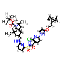 CC(C)(C)CC(CNc1cccc([S+]([O-])NC(=O)c2ccc(-n3ccc(OCCC4C5(CC5)C45CC5)n3)nc2Cl)n1)CC1CN(C(=O)OC(C)(C)C)C(C)(C)C1